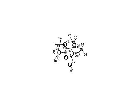 COCC1O[C@@H](OC(C)(C)C)C(OC(C)(C)C)[C@@H](OC(C)(C)C)[C@@H]1OC(C)(C)C